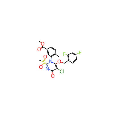 COC(=O)c1ccc(C)c(-n2c(S(C)(=O)=O)nc(=O)c(Cl)c2OCc2ccc(F)cc2F)c1